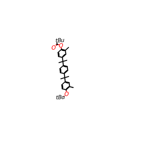 Cc1cc(C(C)(C)c2ccc(C(C)(C)c3ccc(OC(C)(C)C)c(C)c3)cc2)ccc1OC(=O)C(C)(C)C